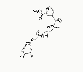 C=C(CCNC(=O)COc1ccc(Cl)c(F)c1)NC(=O)c1ccnc(C(=O)O)c1